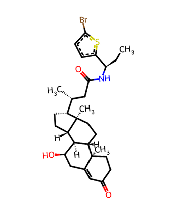 CC[C@@H](NC(=O)C[C@@H](C)[C@H]1CC[C@H]2[C@@H]3[C@H](O)CC4=CC(=O)CC[C@]4(C)[C@H]3CC[C@]12C)c1ccc(Br)s1